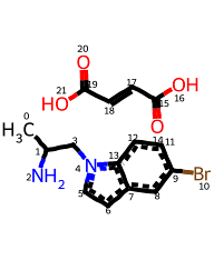 CC(N)Cn1ccc2cc(Br)ccc21.O=C(O)C=CC(=O)O